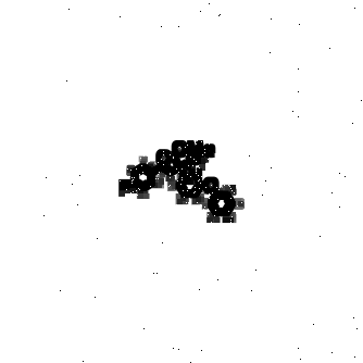 COC(=O)C(C=Cc1ccc(F)cc1)(c1cccc(Oc2ccccc2)n1)C(C)C